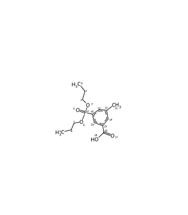 CCCOP(=O)(OCCC)c1cc(C)cc(C(=O)O)c1